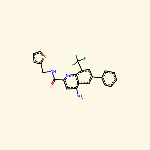 Nc1cc(C(=O)NCc2cccs2)nc2c(C(F)(F)F)cc(-c3ccccc3)cc12